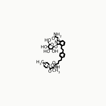 CN1CCN(C(=O)C(C)(C)NC(=O)CCCc2ccc(CCc3cccc4c3c(O[C@@H]3O[C@H](CO)[C@@H](O)[C@H](O)[C@H]3O)nn4CC(N)=O)cc2)CC1